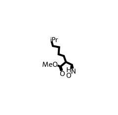 COC(=O)C(/C=N\O)CCCCC(C)C